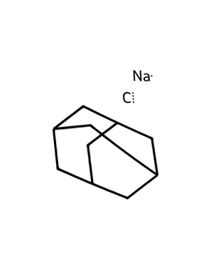 C1C2CC3CC1CC(C2)C3.[C].[Na]